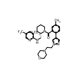 Cc1ccc(-c2cnn(CCN3CCOCC3)c2)c(C(=O)N2CCC[C@@H](C)[C@H]2CNc2ccc(C(F)(F)F)cn2)c1